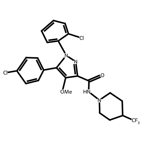 COc1c(C(=O)NN2CCC(C(F)(F)F)CC2)nn(-c2ccccc2Cl)c1-c1ccc(Cl)cc1